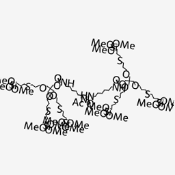 CO[Si](CCCSCCCOCC(COCCCSCCC[Si](OC)(OC)OC)(COCCCSCCC[Si](OC)(OC)OC)COC(=O)NCCCCCCNC(=O)N(CCCCCCNC(=O)OCC(COCCCSCCC[Si](OC)(OC)OC)(COCCCSCCC[Si](OC)(OC)OC)COCCCSCCC[Si](OC)(OC)OC)C(C)=O)(OC)OC